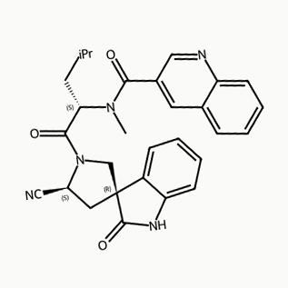 CC(C)C[C@@H](C(=O)N1C[C@]2(C[C@H]1C#N)C(=O)Nc1ccccc12)N(C)C(=O)c1cnc2ccccc2c1